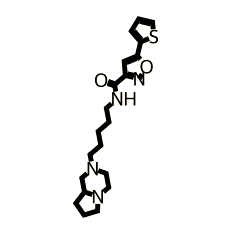 O=C(NCCCCCN1CCN2CCCC2C1)c1cc(-c2cccs2)on1